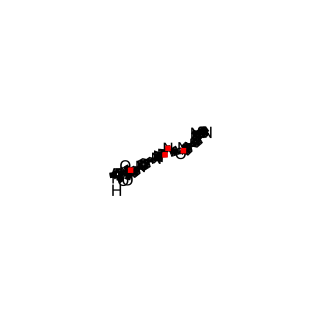 C=C1CCC(N2C(=O)c3ccc(N4CCC(CCN5CC6(CC(N(C)[C@H]7C[C@H](Oc8ccc(-c9ccc%10c%11cnccc%11n(C)c%10c9)cn8)C7)C6)C5)CC4)cc3C2=O)C(=O)N1